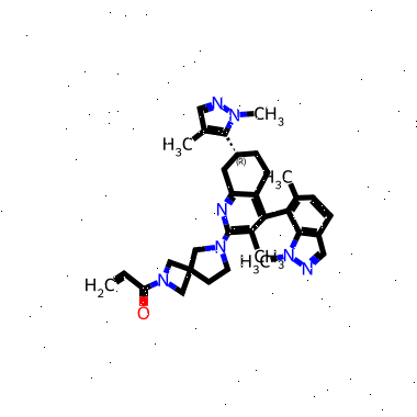 C=CC(=O)N1CC2(CCN(c3nc4c(c(-c5c(C)ccc6cnn(C)c56)c3C)CC[C@@H](c3c(C)cnn3C)C4)C2)C1